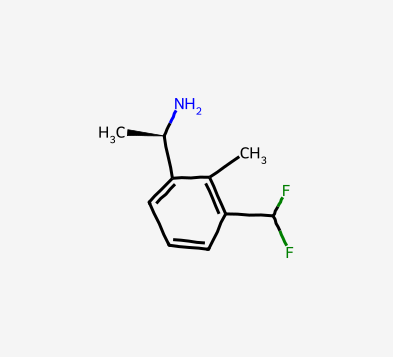 Cc1c(C(F)F)cccc1[C@@H](C)N